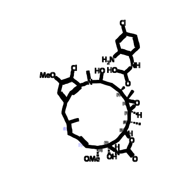 COc1cc2cc(c1Cl)N(C)C(O)C[C@H](OC(O)Nc1ccc(Cl)cc1N)[C@]1(C)O[C@H]1[C@H](C)[C@@H]1C[C@@](O)(NC(=O)O1)[C@H](OC)/C=C/C=C(\C)C2